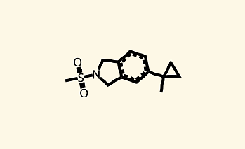 CC1(c2ccc3c(c2)CN(S(C)(=O)=O)C3)CC1